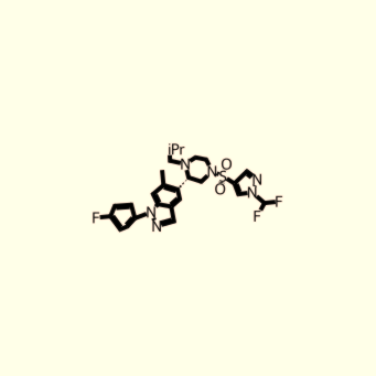 Cc1cc2c(cnn2-c2ccc(F)cc2)cc1[C@H]1CN(S(=O)(=O)c2cnn(C(F)F)c2)CCN1CC(C)C